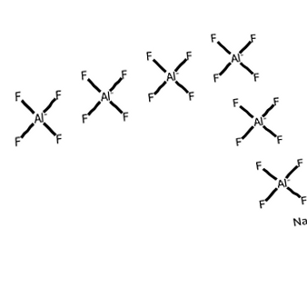 [F][Al-]([F])([F])[F].[F][Al-]([F])([F])[F].[F][Al-]([F])([F])[F].[F][Al-]([F])([F])[F].[F][Al-]([F])([F])[F].[F][Al-]([F])([F])[F].[Na]